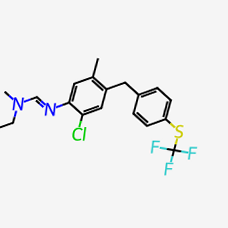 CCN(C)C=Nc1cc(C)c(Cc2ccc(SC(F)(F)F)cc2)cc1Cl